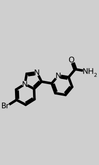 NC(=O)c1cccc(-c2ncn3cc(Br)ccc23)n1